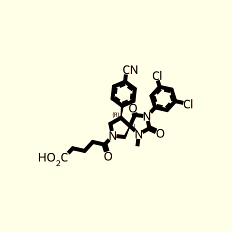 CN1C(=O)N(c2cc(Cl)cc(Cl)c2)C(=O)[C@]12CN(C(=O)CCCC(=O)O)C[C@H]2c1ccc(C#N)cc1